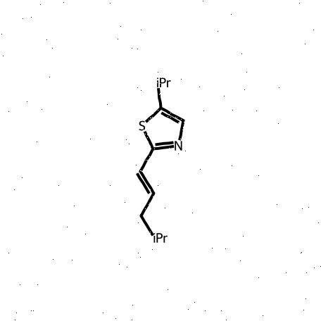 CC(C)C/C=C/c1ncc(C(C)C)s1